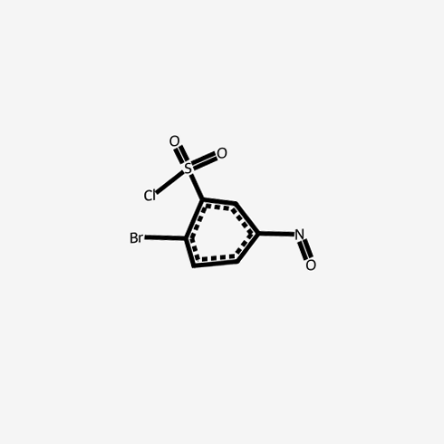 O=Nc1ccc(Br)c(S(=O)(=O)Cl)c1